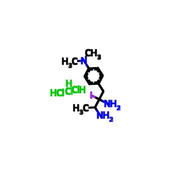 CC(N)C(N)(I)Cc1ccc(N(C)C)cc1.Cl.Cl.Cl